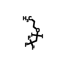 CCCOC(I)(I)CC(F)(F)F